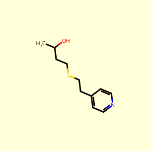 CC(O)CCSCCc1ccncc1